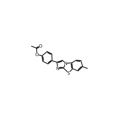 CC(=O)Oc1ccc(-c2cn3c(n2)sc2cc(C)ccc23)cc1